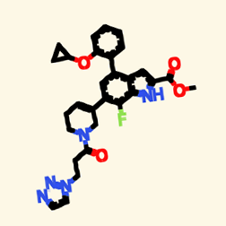 COC(=O)c1cc2c(-c3ccccc3OC3CC3)cc(C3=CCCN(C(=O)CCn4ccnn4)C3)c(F)c2[nH]1